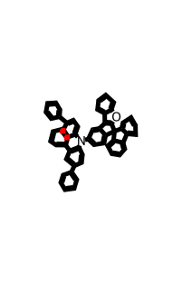 c1ccc(-c2ccc(N(c3ccc4c(c3)-c3c(oc5ccccc35)C43c4ccccc4-c4ccccc43)c3ccc(-c4ccccc4)cc3-c3ccccc3)cc2)cc1